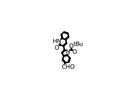 CC(C)(C)OC(=O)n1c(-c2cc3ccccc3[nH]c2=O)cc2cc(C=O)ccc21